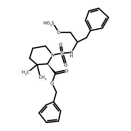 CC1(C)CCCN(S(=O)(=O)NC(COS(=O)(=O)O)Cc2ccccc2)[C@H]1C(=O)OCc1ccccc1